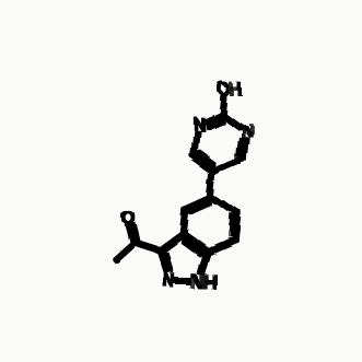 CC(=O)c1n[nH]c2ccc(-c3cnc(O)nc3)cc12